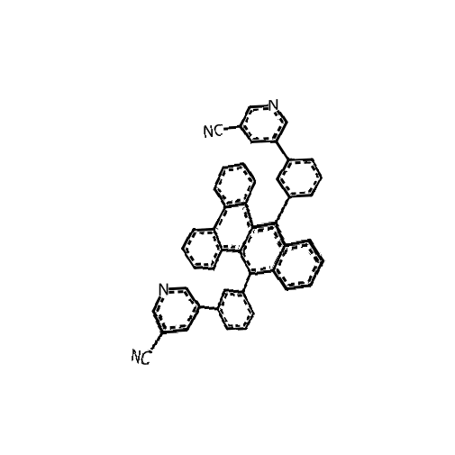 N#Cc1cncc(-c2cccc(-c3c4ccccc4c(-c4cccc(-c5cncc(C#N)c5)c4)c4c5ccccc5c5ccccc5c34)c2)c1